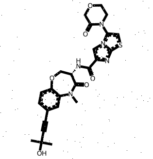 CN1C(=O)[C@@H](NC(=O)c2cn3c(N4CCOCC4=O)csc3n2)COc2ccc(C#CC(C)(C)O)cc21